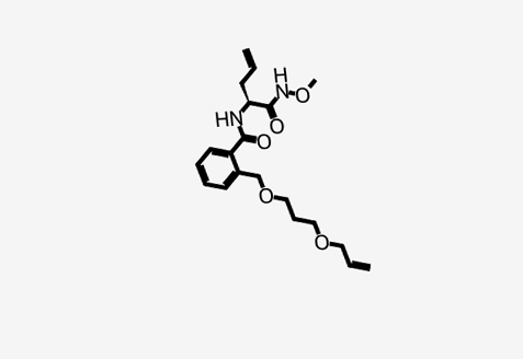 C=CCOCCCOCc1ccccc1C(=O)N[C@@H](CC=C)C(=O)NOC